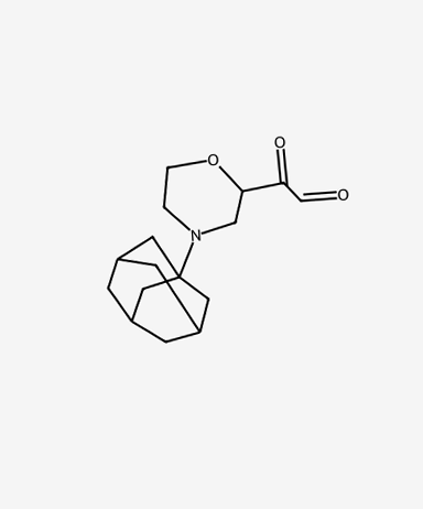 O=CC(=O)C1CN(C23CC4CC(CC(C4)C2)C3)CCO1